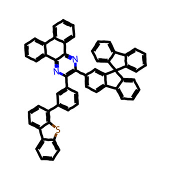 c1cc(-c2nc3c4ccccc4c4ccccc4c3nc2-c2ccc3c(c2)C2(c4ccccc4-c4ccccc42)c2ccccc2-3)cc(-c2cccc3c2sc2ccccc23)c1